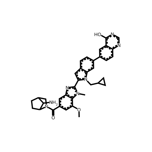 COc1cc(C(=O)N2CC3CCC2C3N)cc2nc(-c3cc4ccc(-c5ccc6ncnc(O)c6c5)cc4n3CC3CC3)n(C)c12